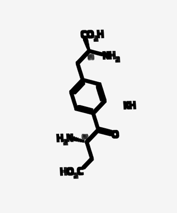 N[C@@H](Cc1ccc(C(=O)[C@@H](N)CC(=O)O)cc1)C(=O)O.[KH]